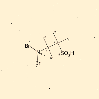 CC(C)(N(Br)Br)C(C)(C)S(=O)(=O)O